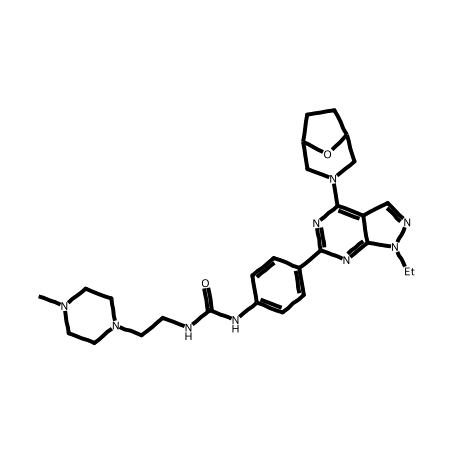 CCn1ncc2c(N3CC4CCC(C3)O4)nc(-c3ccc(NC(=O)NCCN4CCN(C)CC4)cc3)nc21